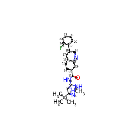 CN/C(=C\C(=N)C(C)(C)C)NC(=O)c1ccc2cc(-c3ccccc3F)cnc2c1